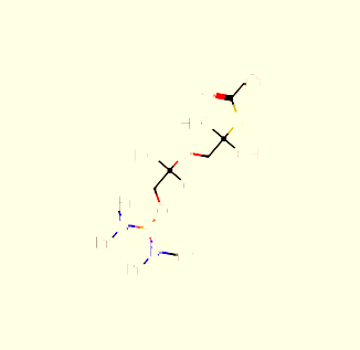 CC(C)C(=O)SC(C)(C)COC(C)(C)COP(N(C(C)C)C(C)C)N(C(C)C)C(C)C